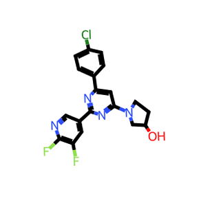 OC1CCN(c2cc(-c3ccc(Cl)cc3)nc(-c3cnc(F)c(F)c3)n2)C1